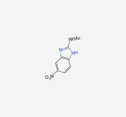 CC(=O)Nc1nc2cc([N+](=O)[O-])ccc2[nH]1